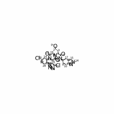 COCCC(C(=O)Nc1ccc2nn(C)cc2c1)N1CC(=O)N(c2cc(Cl)ccc2-n2cc(Cl)nn2)CC1=O